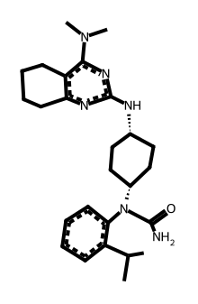 CC(C)c1ccccc1N(C(N)=O)[C@H]1CC[C@@H](Nc2nc3c(c(N(C)C)n2)CCCC3)CC1